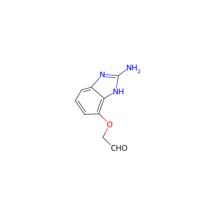 Nc1nc2cccc(OCC=O)c2[nH]1